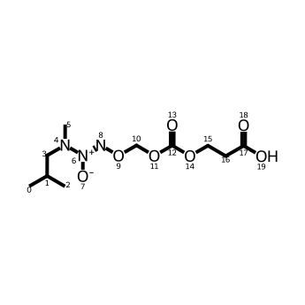 CC(C)CN(C)[N+]([O-])=NOCOC(=O)OCCC(=O)O